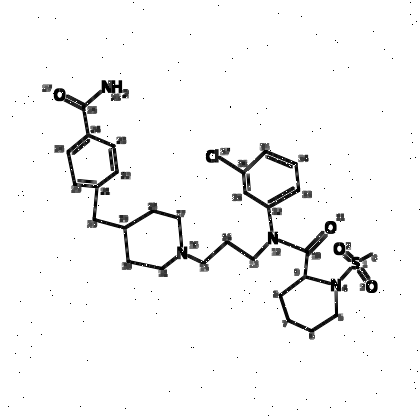 CS(=O)(=O)N1CCCCC1C(=O)N(CCCN1CCC(Cc2ccc(C(N)=O)cc2)CC1)c1cccc(Cl)c1